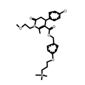 COCCN1C(=O)CC(c2ccc(Cl)cc2)C(C(=O)OCc2ccc(OCCC[N+](C)(C)C)cc2)=C1C